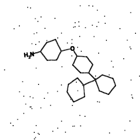 NC1CCC(OC2CCC(C3(C4CCCCC4)CCCCC3)CC2)CC1